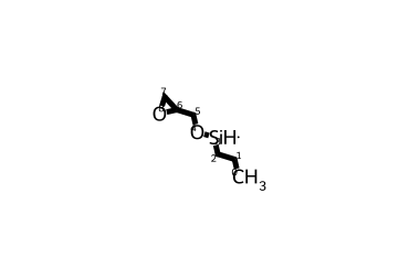 CCC[SiH]OCC1CO1